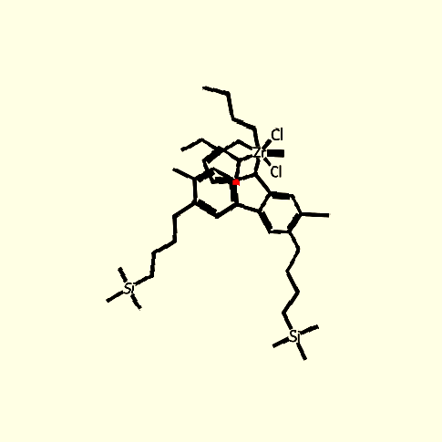 [CH2]=[Zr]([Cl])([Cl])([CH2]CCC)([CH2]CCC)([CH]1C=CC=C1)[CH]1c2cc(C)c(CCCC[Si](C)(C)C)cc2-c2cc(CCCC[Si](C)(C)C)c(C)cc21